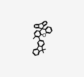 Cc1ccc2c(c1-c1ccc3c(c1)-c1ccccc1C3(C)C)Oc1ccccc1C21c2ccccc2-c2ccccc21